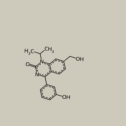 CC(C)n1c(=O)nc(-c2cccc(O)c2)c2ccc(CO)cc21